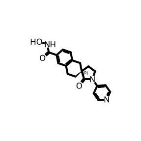 O=C(NO)c1ccc2c(c1)CC[C@]1(CCN(c3ccncc3)C1=O)C2